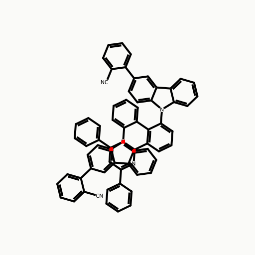 N#Cc1ccccc1-c1ccc2c(c1)c1ccccc1n2-c1ccccc1-c1c(-c2nc(-c3ccccc3)cc(-c3ccccc3)n2)cccc1-n1c2ccccc2c2cc(-c3ccccc3C#N)ccc21